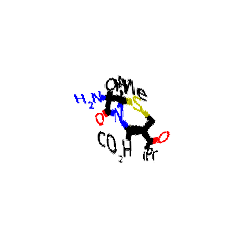 COC1(N)C(=O)N2C(C(=O)O)=C(C(=O)C(C)C)CS[C@@H]21